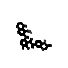 Cc1c(Nc2cc[nH]c(=O)c2C(=O)Nc2ccc3c(c2)OCC(=O)N3)cnc2c1NCCO2